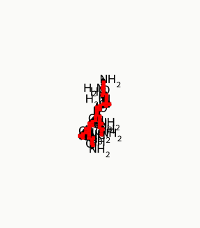 C[C@H](N)C(=O)Nc1ccc(/N=N/c2ccc(CN3CCN(CC(=O)Oc4ccccc4/N=N/c4ccc(NC(=O)[C@@H](N)CCCCN)nc4N)CC3)cc2OC(=O)[C@@H]2CCC(c3ccc(OC(=O)[C@@H]4CCCCN4C)c(/N=N/c4ccc(NC(=O)CCN)nc4N)c3)CN2C)c(N)n1